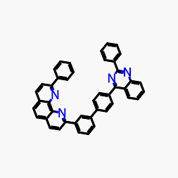 c1ccc(-c2ccc3ccc4ccc(-c5cccc(-c6ccc(-c7nc(-c8ccccc8)nc8ccccc78)cc6)c5)nc4c3n2)cc1